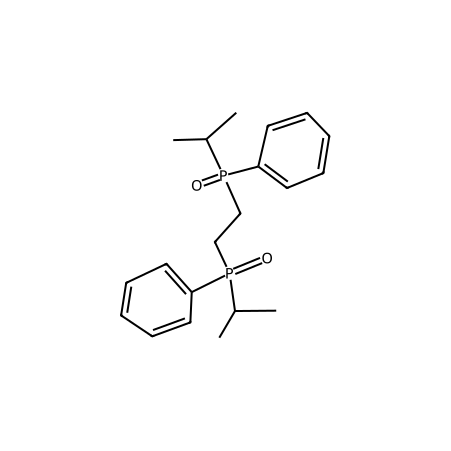 CC(C)P(=O)(CCP(=O)(c1ccccc1)C(C)C)c1ccccc1